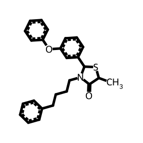 CC1SC(c2cccc(Oc3ccccc3)c2)N(CCCCc2ccccc2)C1=O